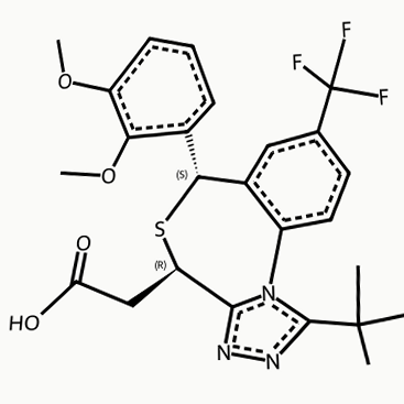 COc1cccc([C@H]2S[C@H](CC(=O)O)c3nnc(C(C)(C)C)n3-c3ccc(C(F)(F)F)cc32)c1OC